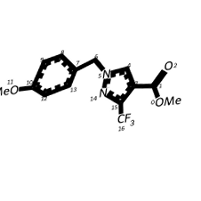 COC(=O)c1cn(Cc2ccc(OC)cc2)nc1C(F)(F)F